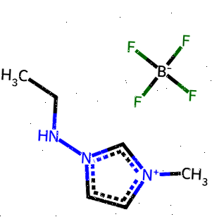 CCNn1cc[n+](C)c1.F[B-](F)(F)F